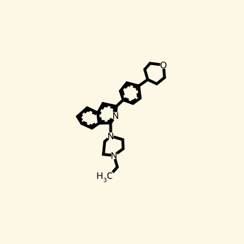 CCN1CCN(c2nc(-c3ccc(C4CCOCC4)cc3)cc3ccccc23)CC1